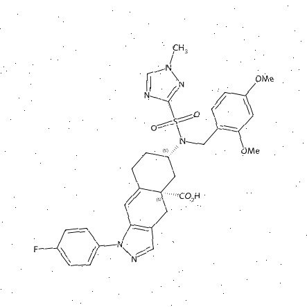 COc1ccc(CN([C@H]2CCC3=Cc4c(cnn4-c4ccc(F)cc4)C[C@]3(C(=O)O)C2)S(=O)(=O)c2ncn(C)n2)c(OC)c1